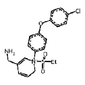 CCS(=O)(=O)[N+]1(c2ccc(Oc3ccc(Cl)cc3)cc2)C=C(CN)C=CC1